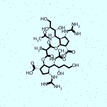 BC(C(=O)O[C@H]1[C@@H]([C@H](NC(C)=O)[C@@H](O)[C@@H](O)CO)[C@H](NC(=N)N)C[C@@H]1C(=O)O)C(=O)O[C@H]1[C@@H]([C@H](NC(C)=O)[C@@H](O)CCO)[C@H](NC(=N)N)C[C@@H]1C(=O)O